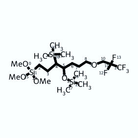 CO[Si](CCC(C(CCCOCC(F)(F)C(F)(F)F)O[Si](C)(C)C)[Si](C)(C)C)(OC)OC